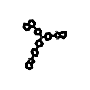 c1ccc2sc(-c3ccc(-c4ccc(N(c5ccc(-c6nc7ccccc7s6)cc5)c5ccc(-c6cccc7ccccc67)cc5)cc4)cc3)cc2c1